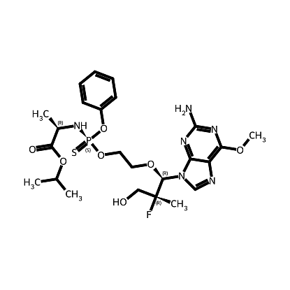 COc1nc(N)nc2c1ncn2[C@H](OCCO[P@@](=S)(N[C@H](C)C(=O)OC(C)C)Oc1ccccc1)[C@](C)(F)CO